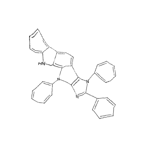 c1ccc(-c2nc3c(c4ccc5c6ccccc6[nH]c5c4n3-c3ccccc3)n2-c2ccccc2)cc1